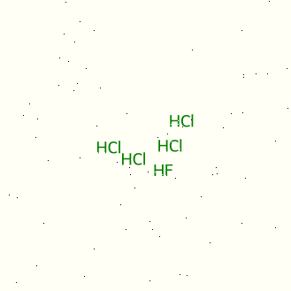 Cl.Cl.Cl.Cl.F